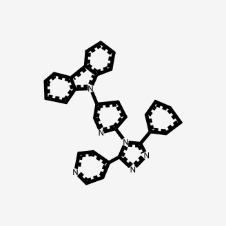 c1ccc(-c2nnc(-c3ccncc3)n2-c2ccc(-n3c4ccccc4c4ccccc43)cn2)cc1